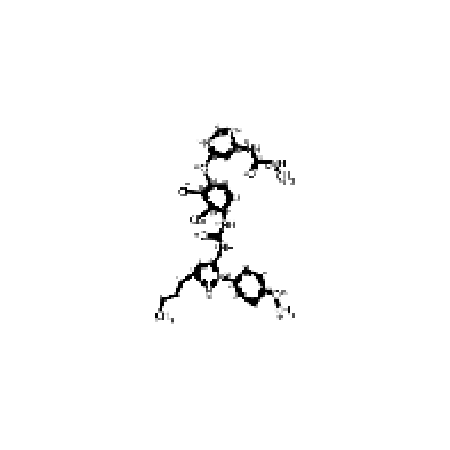 CCCCc1cc(NC(=O)Nc2ccc(Oc3cc(NC(=O)NC)ncn3)c(Cl)c2Cl)n(-c2ccc(OC)cc2)n1